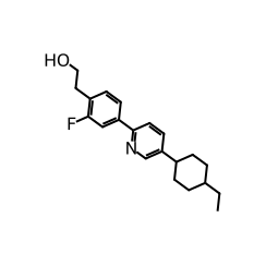 CCC1CCC(c2ccc(-c3ccc(CCO)c(F)c3)nc2)CC1